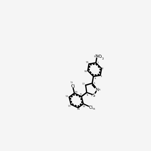 O=[N+]([O-])c1ccc(C2=NSC(c3c(Cl)cccc3Cl)C2)cc1